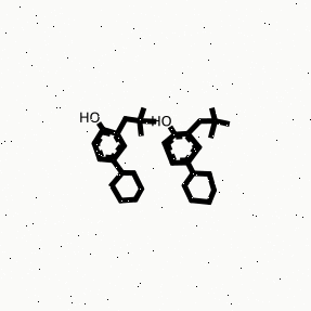 CC(C)(C)Cc1cc(C2CCCCC2)ccc1O.CC(C)(C)Cc1cc(C2CCCCC2)ccc1O